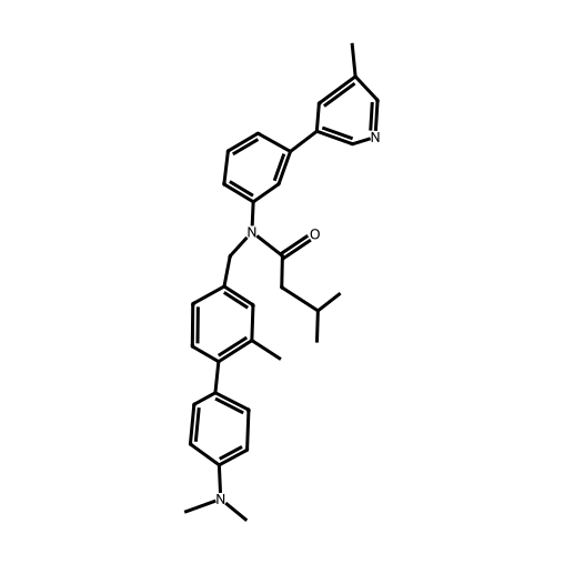 Cc1cncc(-c2cccc(N(Cc3ccc(-c4ccc(N(C)C)cc4)c(C)c3)C(=O)CC(C)C)c2)c1